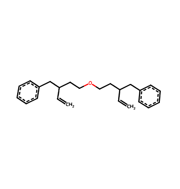 C=CC(CCOCCC(C=C)Cc1ccccc1)Cc1ccccc1